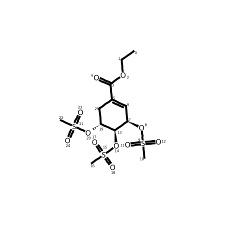 CCOC(=O)C1=C[C@@H](OS(C)(=O)=O)[C@@H](OS(C)(=O)=O)[C@H](OS(C)(=O)=O)C1